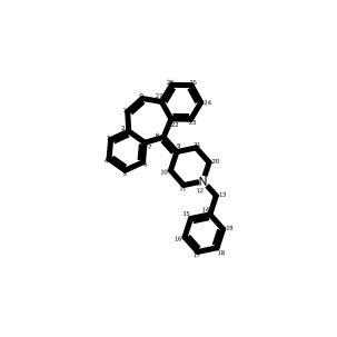 C1=Cc2ccccc2C(=C2CCN(Cc3ccccc3)CC2)c2ccccc21